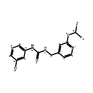 O=C(NCc1ccnc(OC(F)F)c1)Nc1cncc(Cl)c1